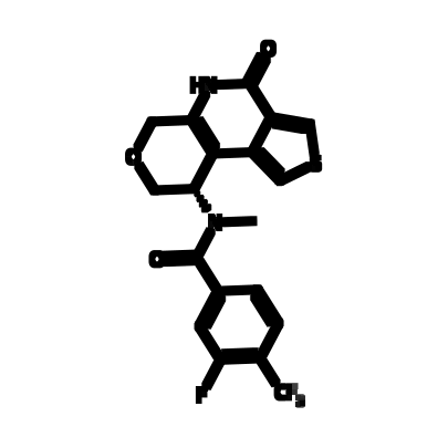 CN(C(=O)c1ccc(C(F)(F)F)c(F)c1)[C@@H]1COCc2[nH]c(=O)c3cscc3c21